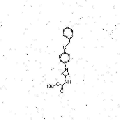 CC(C)(C)OC(=O)NC1CN(c2ccc(OCc3ccccc3)cc2)C1